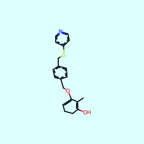 CC1=C(O)[CH]CC=C1OCc1ccc(CSc2ccncc2)cc1